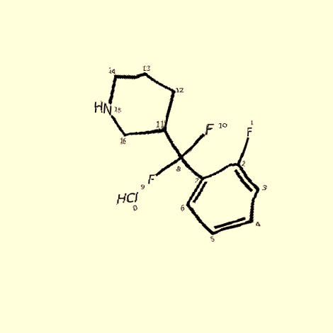 Cl.Fc1ccccc1C(F)(F)C1CCCNC1